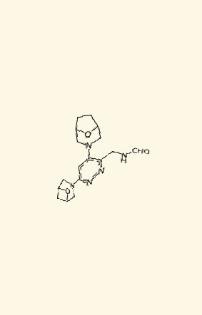 O=CNCc1nnc(N2CC3CC(C2)O3)cc1N1CC2CCC(C1)O2